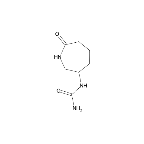 NC(=O)NC1CCCC(=O)NC1